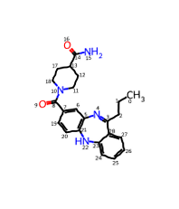 CCCC1=Nc2cc(C(=O)N3CCC(C(N)=O)CC3)ccc2Nc2ccccc21